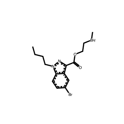 CBCCOC(=O)c1nn(CCCC)c2ccc(Br)cc12